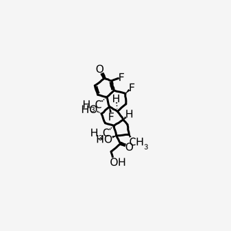 C[C@@H]1C[C@H]2[C@@H]3C[C@H](F)C4=C(F)C(=O)C=C[C@]4(C)[C@@]3(F)[C@@H](O)C[C@]2(C)[C@@]1(O)C(=O)CO